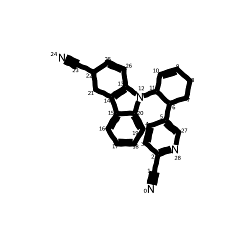 N#Cc1ccc(C2CCC=CC2n2c3c(c4ccccc42)CC(C#N)C=C3)cn1